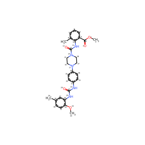 COC(=O)c1cccc(C)c1NC(=O)N1CCN(c2ccc(NC(=O)Nc3cc(C)ccc3OC)cc2)CC1